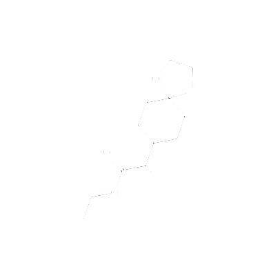 CCOC(=O)C(F)C1CCC2(CC1)OCCO2